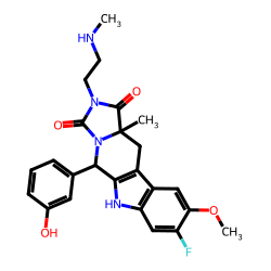 CNCCN1C(=O)N2C(c3cccc(O)c3)c3[nH]c4cc(F)c(OC)cc4c3CC2(C)C1=O